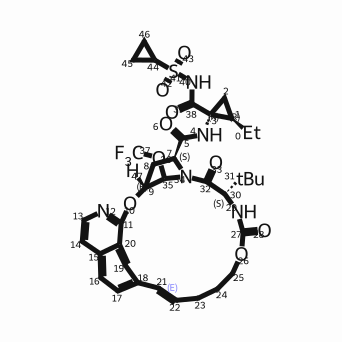 CC[C@@H]1C[C@]1(NC(=O)[C@@H]1C[C@H]2Oc3nccc4ccc(cc34)/C=C/CCCOC(=O)N[C@@H](C(C)(C)C)C(=O)N1C2OC(F)(F)F)C(=O)NS(=O)(=O)C1CC1